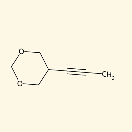 CC#CC1COCOC1